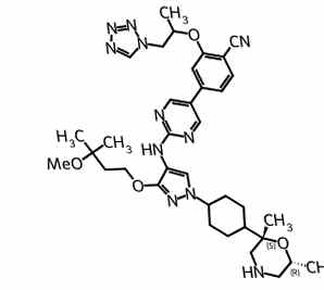 COC(C)(C)CCOc1nn(C2CCC([C@@]3(C)CNC[C@@H](C)O3)CC2)cc1Nc1ncc(-c2ccc(C#N)c(OC(C)Cn3cnnn3)c2)cn1